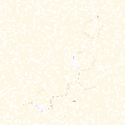 Cc1ccc(-c2ccc(C)c(-c3ccc(-c4ccc(F)cc4)cn3)c2C)c(O)n1